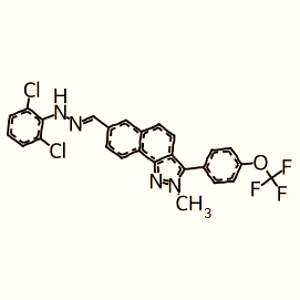 Cn1nc2c(ccc3cc(/C=N/Nc4c(Cl)cccc4Cl)ccc32)c1-c1ccc(OC(F)(F)F)cc1